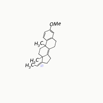 C/C=C1/CCC2=C3CCc4cc(OC)ccc4C3(C)CCC21C